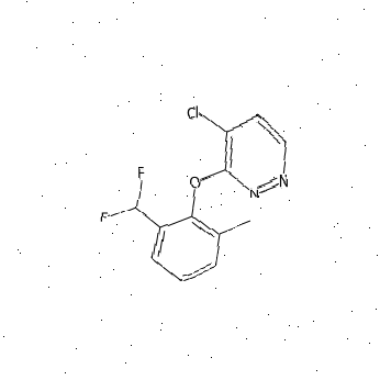 Cc1cccc(C(F)F)c1Oc1nnccc1Cl